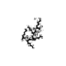 CCCCCC(C)C(=O)NC(CCCCC)C(=O)NC(CCCCC)C(=O)NC(CCCCC)C(=O)NC(CCCCN)C(=O)O